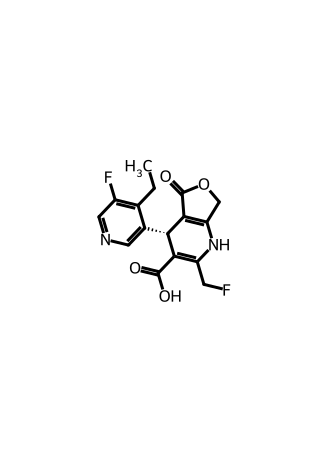 CCc1c(F)cncc1[C@H]1C(C(=O)O)=C(CF)NC2=C1C(=O)OC2